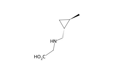 C[C@@H]1C[C@H]1CNCC(=O)O